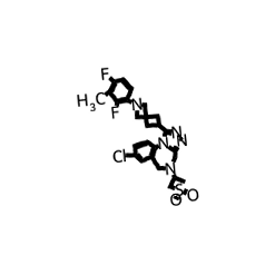 Cc1c(F)ccc(N2CC3(CC(c4nnc5n4-c4ccc(Cl)cc4CN(C4CS(=O)(=O)C4)C5)C3)C2)c1F